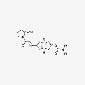 CCN(CC)C(=O)O[C@H]1C[C@H]2CC(NCC(=O)N3CCC[C@H]3C#N)C[C@H]2C1